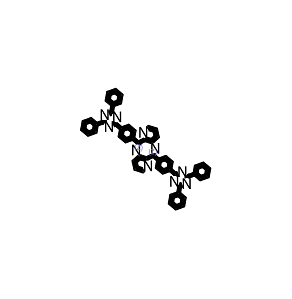 c1ccc(-c2nc(-c3ccccc3)nc(-c3ccc(/C4=N/c5cccnc5/C(c5ccc(-c6nc(-c7ccccc7)nc(-c7ccccc7)n6)cc5)=N\c5cccnc54)cc3)n2)cc1